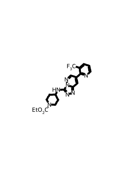 CCOC(=O)N1CCC(Nc2nnc3cc(-c4ncccc4C(F)(F)F)cnn23)CC1